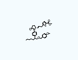 CCCCCC(COCc1ccc(OC)cc1)c1ccc(N2C(=O)CC[C@@H]2/C=C/Cc2ccc(C(=O)OC)s2)cc1